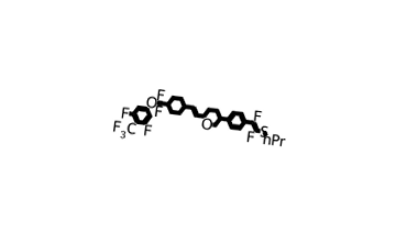 CCCS/C(F)=C(\F)c1ccc(C2CCC(/C=C/C3CCC(C(F)(F)Oc4cc(F)c(C(F)(F)F)c(F)c4)CC3)OC2)cc1